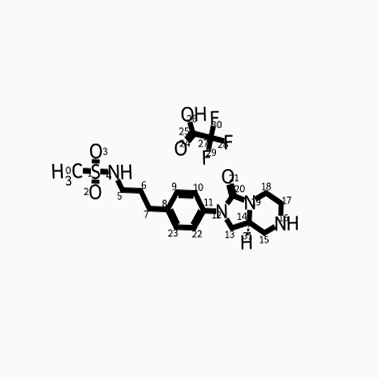 CS(=O)(=O)NCCCc1ccc(N2C[C@@H]3CNCCN3C2=O)cc1.O=C(O)C(F)(F)F